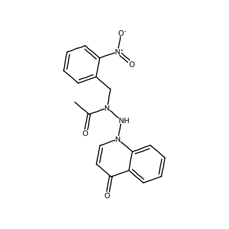 CC(=O)N(Cc1ccccc1[N+](=O)[O-])Nn1ccc(=O)c2ccccc21